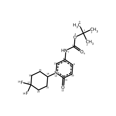 CC(C)(C)OC(=O)Nc1ccc(=O)n(C2CCC(F)(F)CC2)c1